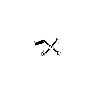 C=[CH][Sn]([Br])([Br])[Br]